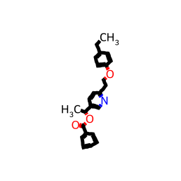 CCc1ccc(OCCc2ccc(C(C)OC(=O)c3ccccc3)cn2)cc1